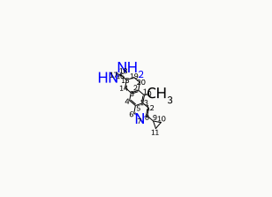 Cc1c2c(cc3cnc(C4CC4)cc13)CC(C(=N)N)CC2